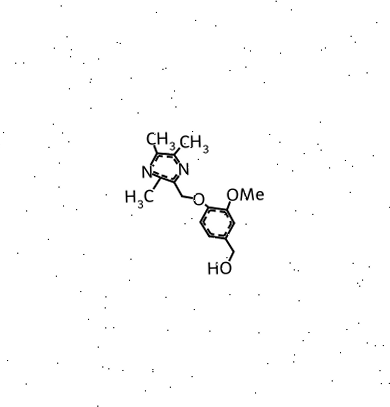 COc1cc(CO)ccc1OCc1nc(C)c(C)nc1C